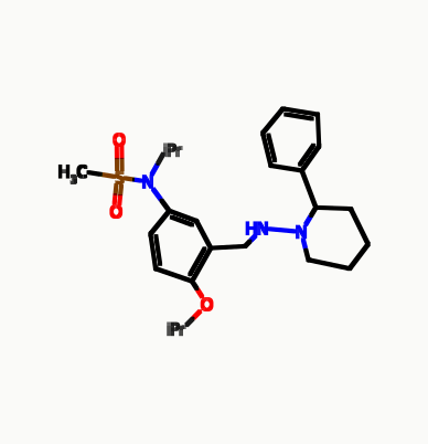 CC(C)Oc1ccc(N(C(C)C)S(C)(=O)=O)cc1CNN1CCCCC1c1ccccc1